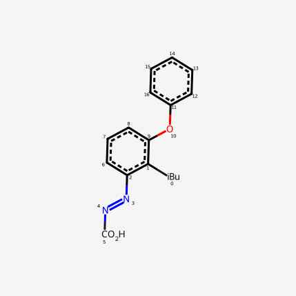 CCC(C)c1c(N=NC(=O)O)cccc1Oc1ccccc1